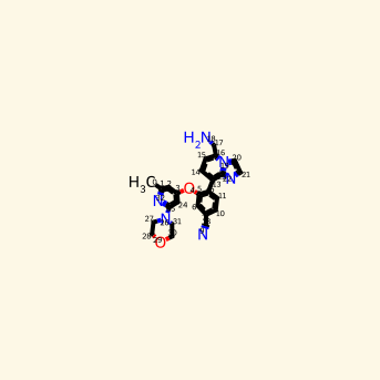 Cc1cc(Oc2cc(C#N)ccc2-c2ccc(CN)n3ccnc23)cc(N2CCOCC2)n1